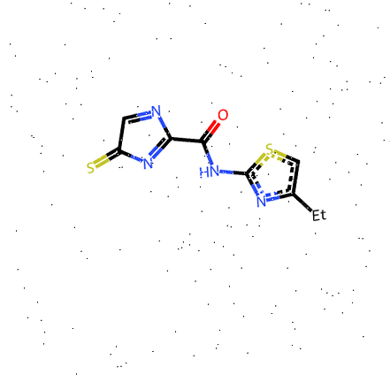 CCc1csc(NC(=O)C2=NC(=S)C=N2)n1